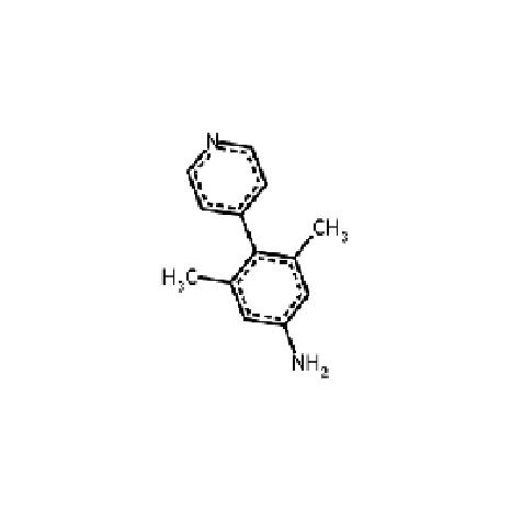 Cc1cc(N)cc(C)c1-c1ccncc1